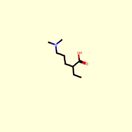 CCC(CCCN(C)C)C(=O)O